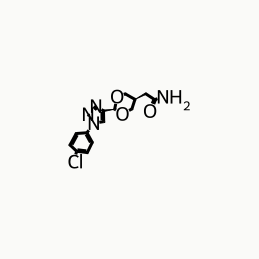 NC(=O)C[C@H]1CO[C@@H](c2cn(-c3ccc(Cl)cc3)nn2)OC1